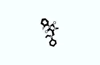 CCN(C=C1C(=O)N(c2ccccc2F)C(=O)N1C)C1CCCCC1